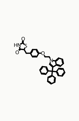 O=C1NC(=O)C(Cc2ccc(OCCn3cc(C(c4ccccc4)(c4ccccc4)c4ccccc4)c4ccccc43)cc2)S1